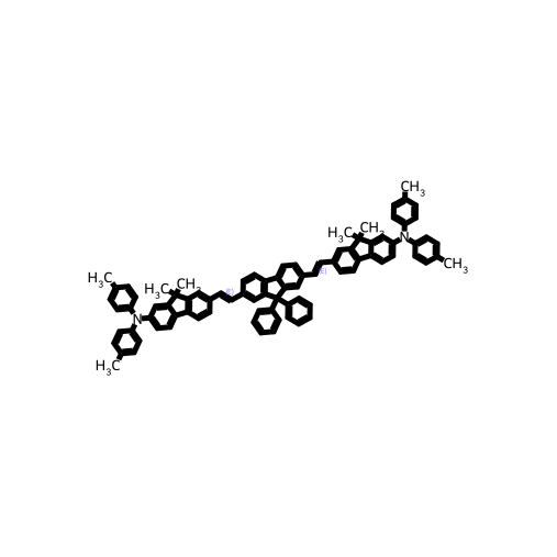 Cc1ccc(N(c2ccc(C)cc2)c2ccc3c(c2)C(C)(C)c2cc(/C=C/c4ccc5c(c4)C(c4ccccc4)(c4ccccc4)c4cc(/C=C/c6ccc7c(c6)C(C)(C)c6cc(N(c8ccc(C)cc8)c8ccc(C)cc8)ccc6-7)ccc4-5)ccc2-3)cc1